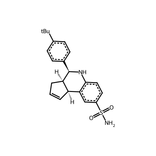 CC(C)(C)c1ccc([C@H]2Nc3ccc(S(N)(=O)=O)cc3[C@H]3C=CC[C@H]32)cc1